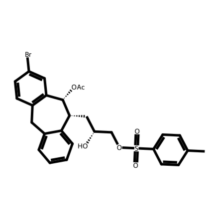 CC(=O)O[C@H]1c2cc(Br)ccc2Cc2ccccc2[C@H]1C[C@@H](O)COS(=O)(=O)c1ccc(C)cc1